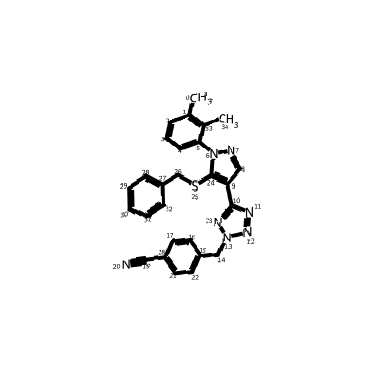 Cc1cccc(-n2ncc(-c3nnn(Cc4ccc(C#N)cc4)n3)c2SCc2ccccc2)c1C